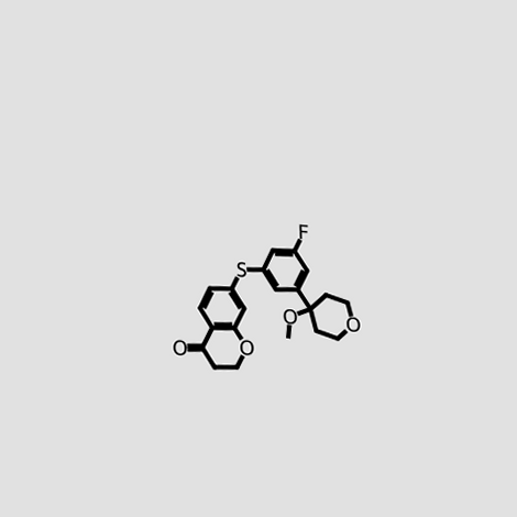 COC1(c2cc(F)cc(Sc3ccc4c(c3)OCCC4=O)c2)CCOCC1